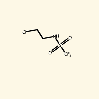 O=S(=O)(NCCCl)C(F)(F)F